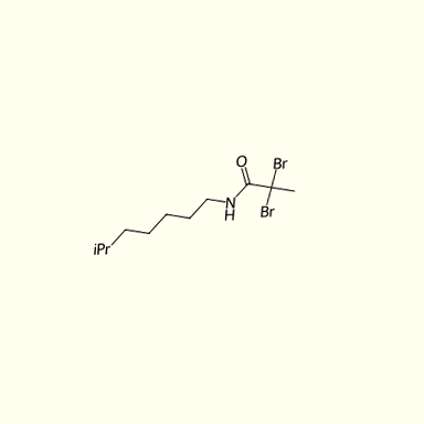 CC(C)CCCCCNC(=O)C(C)(Br)Br